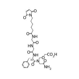 NC(=O)CN(COCC(=O)O)C(=O)[C@H](Cc1ccccc1)NC(=O)CNC(=O)CNC(=O)CCCCCN1C(=O)C=CC1=O